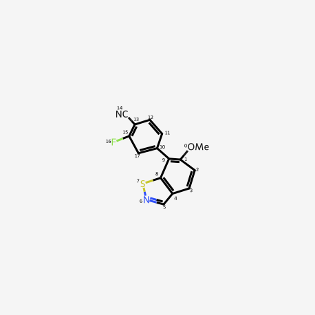 COc1ccc2cnsc2c1-c1ccc(C#N)c(F)c1